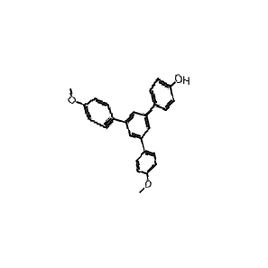 COc1ccc(-c2cc(-c3ccc(O)cc3)cc(-c3ccc(OC)cc3)c2)cc1